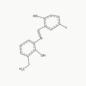 CCc1cccc(/N=C/c2cc(I)ccc2O)c1O